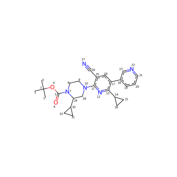 CC(C)(C)OC(=O)N1CCN(c2nc(C3CC3)c(-c3cccnc3)cc2C#N)CC1C1CC1